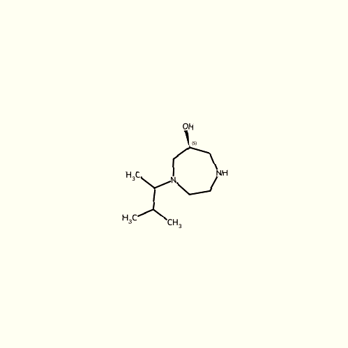 CC(C)C(C)N1CCNC[C@H](O)C1